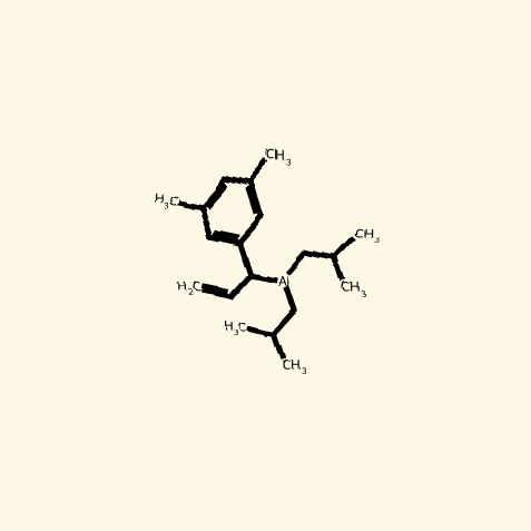 C=C[CH](c1cc(C)cc(C)c1)[Al]([CH2]C(C)C)[CH2]C(C)C